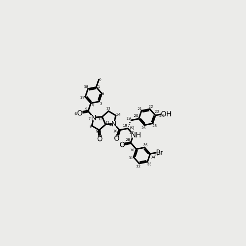 Cc1ccc(C(=O)N2CC(=O)C3C2CCN3C(=O)[C@H](Cc2ccc(O)cc2)NC(=O)c2cccc(Br)c2)cc1